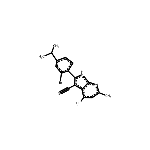 Cc1cc(C)c2c(C#N)c(-c3ccc(C(C)C)cc3Br)[nH]c2n1